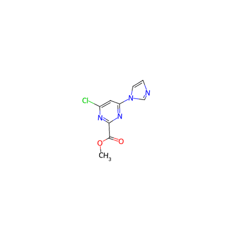 COC(=O)c1nc(Cl)cc(-n2ccnc2)n1